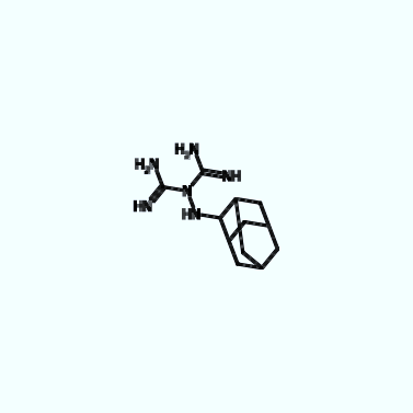 N=C(N)N(NC1C2CC3CC(C2)CC1C3)C(=N)N